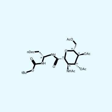 CCCCCCCCCCC[C@@H](NC(=O)OC(C)(C)C)NC(=O)[C@@H]1O[C@H](COC(C)=O)[C@@H](OC(C)=O)[C@H](OC(C)=O)[C@H]1NC(C)=O